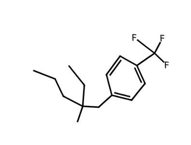 CCCC(C)(CC)Cc1ccc(C(F)(F)F)cc1